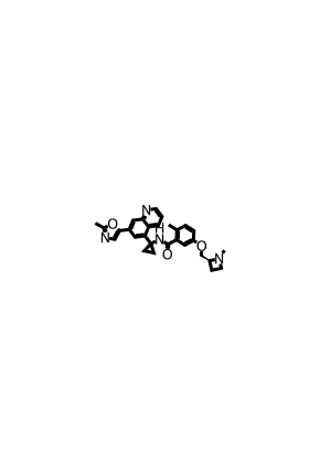 Cc1ncc(-c2cc(C3(NC(=O)c4cc(OC[C@@H]5CCN5C)ccc4C)CC3)c3cccnc3c2)o1